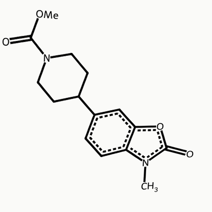 COC(=O)N1CCC(c2ccc3c(c2)oc(=O)n3C)CC1